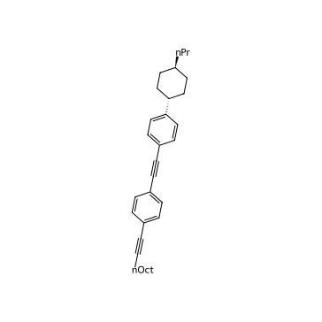 CCCCCCCCC#Cc1ccc(C#Cc2ccc([C@H]3CC[C@H](CCC)CC3)cc2)cc1